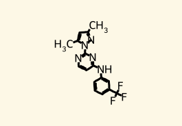 Cc1cc(C)n(-c2nccc(Nc3cccc(C(F)(F)F)c3)n2)n1